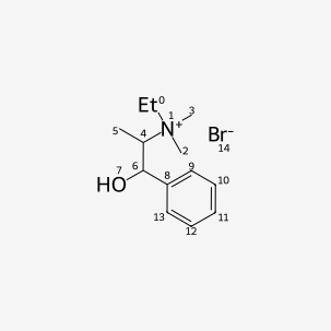 CC[N+](C)(C)C(C)C(O)c1ccccc1.[Br-]